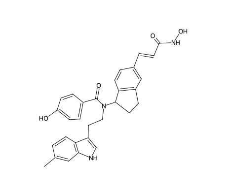 Cc1ccc2c(CCN(C(=O)c3ccc(O)cc3)C3CCc4cc(C=CC(=O)NO)ccc43)c[nH]c2c1